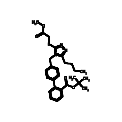 CCCCc1nnc(SCC(=O)OC)n1Cc1ccc(-c2ccccc2C(=O)OC(C)(C)C)cc1